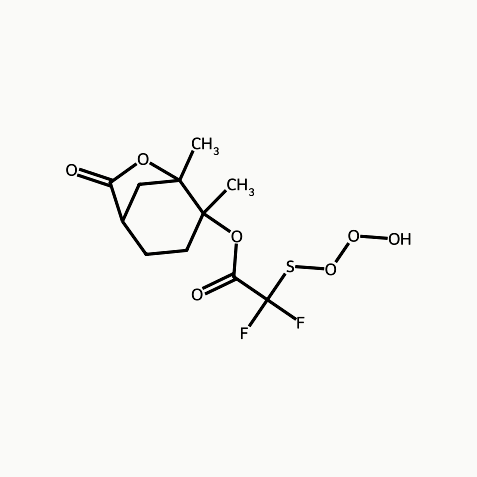 CC12CC(CCC1(C)OC(=O)C(F)(F)SOOO)C(=O)O2